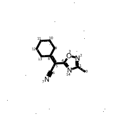 Cc1noc(C(C#N)=C2CCCCC2)n1